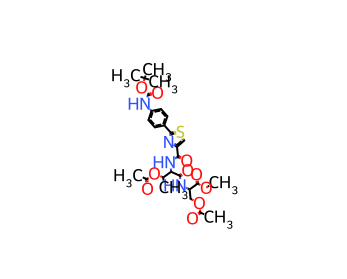 COC(=O)C(COC(C)=O)NC(=O)C(NC(=O)c1csc(-c2ccc(NC(=O)OC(C)(C)C)cc2)n1)C(C)OC(C)=O